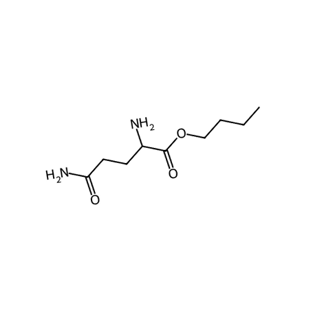 CCCCOC(=O)C(N)CCC(N)=O